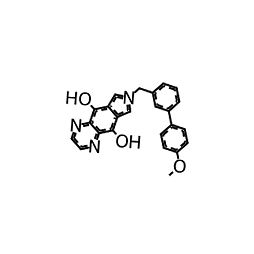 COc1ccc(-c2cccc(Cn3cc4c(O)c5nccnc5c(O)c4c3)c2)cc1